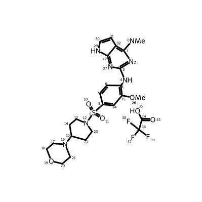 CNc1nc(Nc2ccc(S(=O)(=O)N3CCC(N4CCOCC4)CC3)cc2OC)nc2[nH]ccc12.O=C(O)C(F)(F)F